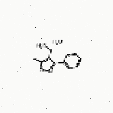 Cc1onc(-c2ccccc2)c1CN.O